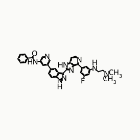 CN(C)CCNc1cc(F)cc(-c2nccc3[nH]c(-c4n[nH]c5ccc(-c6cncc(NC(=O)c7ccccc7)c6)cc45)nc23)c1